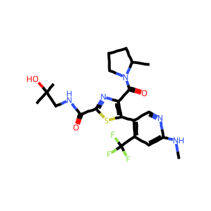 CNc1cc(C(F)(F)F)c(-c2sc(C(=O)NCC(C)(C)O)nc2C(=O)N2CCCC2C)cn1